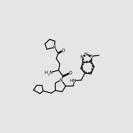 Cn1nnc2cc(CNCC3CC(CC4CCCC4)CN3C(=O)C(N)CCC(=O)N3CCCC3)ccc21